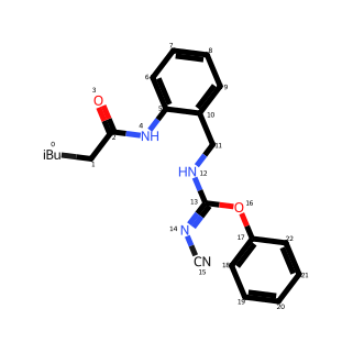 CCC(C)CC(=O)Nc1ccccc1CN/C(=N/C#N)Oc1ccccc1